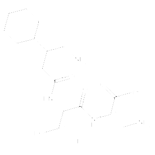 CC(C)C(=O)[C@H](CN)NC(=O)[C@@H](NC(=O)CC(CN)C1CCCCC1)[C@H](C)O